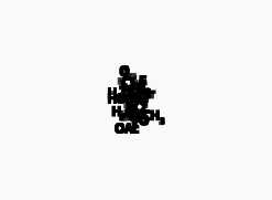 CC(=O)OCC(=O)[C@@]1(O)[C@H](C)C[C@H]2[C@@H]3[C@H](Br)[C@@H](F)C4=CC(=O)C=C[C@]4(C)[C@@]3(F)[C@@H](O)C[C@@]21C